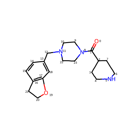 O=C(C1CCNCC1)N1CCN(Cc2ccc3c(c2)OCC3)CC1